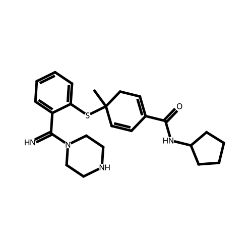 CC1(Sc2ccccc2C(=N)N2CCNCC2)C=CC(C(=O)NC2CCCC2)=CC1